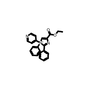 CCOC(=O)C1=C[N+](c2ccccc2)(c2ccncc2)C(c2ccccc2)=N1